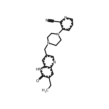 CCc1cc2ncc(CN3CCN(c4cccnc4C#N)CC3)cc2[nH]c1=O